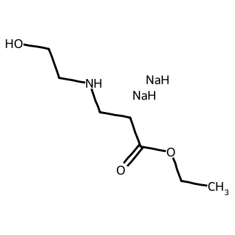 CCOC(=O)CCNCCO.[NaH].[NaH]